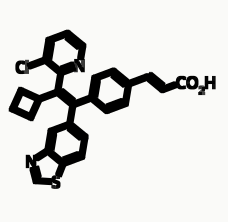 O=C(O)C=Cc1ccc(C(=C(c2ncccc2Cl)C2CCC2)c2ccc3scnc3c2)cc1